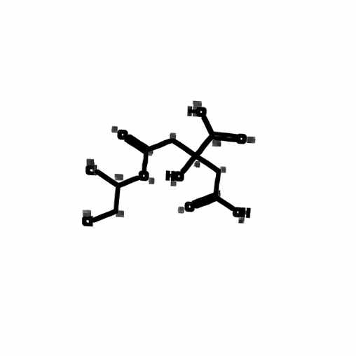 O=C(O)CC(O)(CC(=O)OC(Cl)CCl)C(=O)O